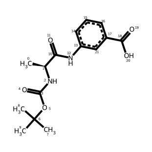 C[C@H](NC(=O)OC(C)(C)C)C(=O)Nc1cccc(C(=O)O)c1